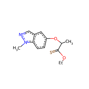 CCOC(=S)C(C)Oc1ccc2c(cnn2C)c1